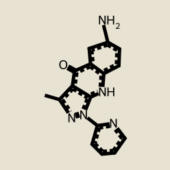 Cc1nn(-c2ccccn2)c2[nH]c3ccc(N)cc3c(=O)c12